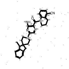 CC1c2ccccc2CC12CCN(c1cnc(C(=O)N3CCCc4c(C#N)cccc43)c(N)n1)CC2